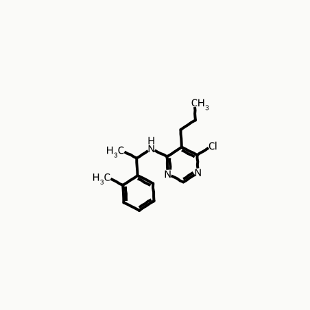 CCCc1c(Cl)ncnc1NC(C)c1ccccc1C